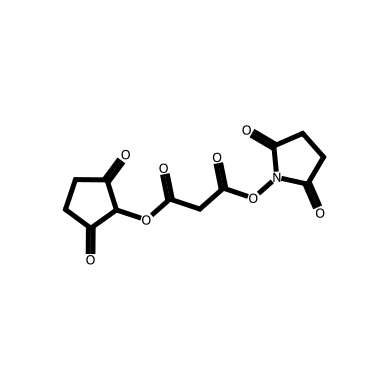 O=C(CC(=O)ON1C(=O)CCC1=O)OC1C(=O)CCC1=O